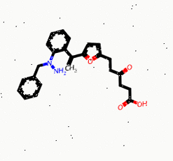 C=C(c1ccc(CCC(=O)CCC(=O)O)o1)c1ccccc1N(N)Cc1ccccc1